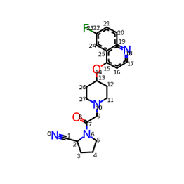 N#CC1CCCN1C(=O)CN1CCC(Oc2ccnc3ccc(F)cc23)CC1